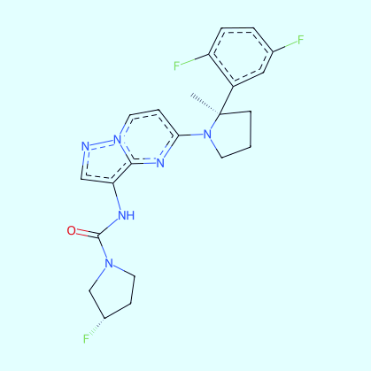 C[C@]1(c2cc(F)ccc2F)CCCN1c1ccn2ncc(NC(=O)N3CC[C@H](F)C3)c2n1